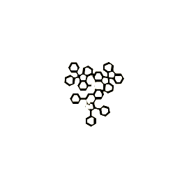 c1ccc(-c2nn3c(-c4ccccc4)cc4c(N(c5cccc6c5-c5ccccc5C6(c5ccccc5)c5ccccc5)c5cccc6c5-c5ccccc5C65c6ccccc6-c6ccccc65)cccc4c3c2-c2ccccc2)cc1